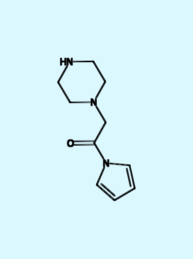 O=C(CN1CCNCC1)n1cccc1